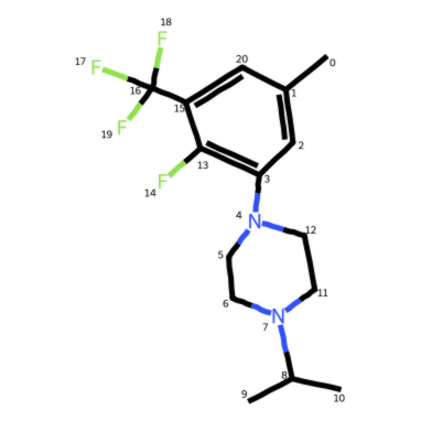 Cc1cc(N2CCN(C(C)C)CC2)c(F)c(C(F)(F)F)c1